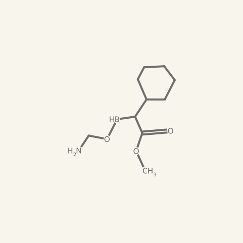 COC(=O)C(BOCN)C1CCCCC1